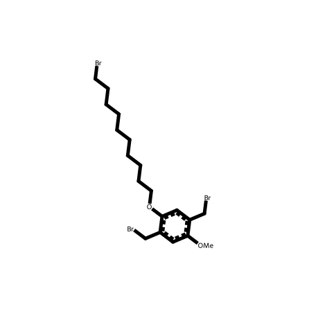 COc1cc(CBr)c(OCCCCCCCCCCBr)cc1CBr